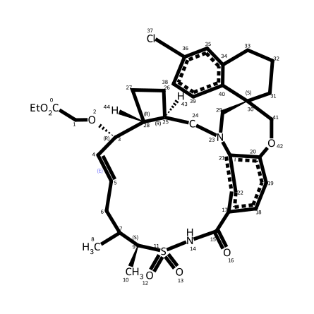 CCOC(=O)CO[C@H]1/C=C/CC(C)[C@H](C)S(=O)(=O)NC(=O)c2ccc3c(c2)N(C[C@@H]2CC[C@H]21)C[C@@]1(CCCc2cc(Cl)ccc21)CO3